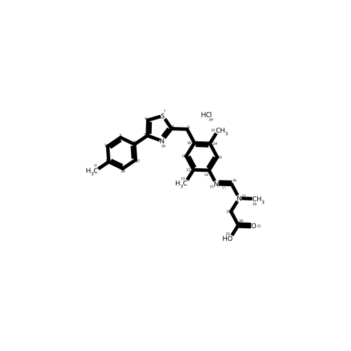 Cc1ccc(-c2csc(Cc3cc(C)c(/N=C/N(C)CC(=O)O)cc3C)n2)cc1.Cl